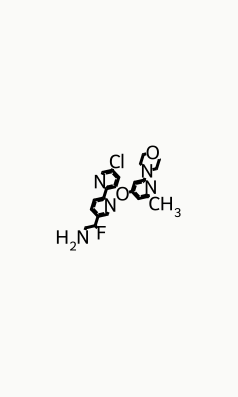 Cc1cc(Oc2cc(Cl)cnc2-c2ccc(C(F)CN)cn2)cc(N2CCOCC2)n1